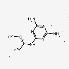 CCCOC(CCC)Nc1nc(N)nc(N)n1